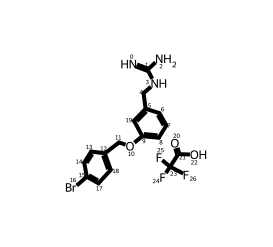 N=C(N)NCc1cccc(OCc2ccc(Br)cc2)c1.O=C(O)C(F)(F)F